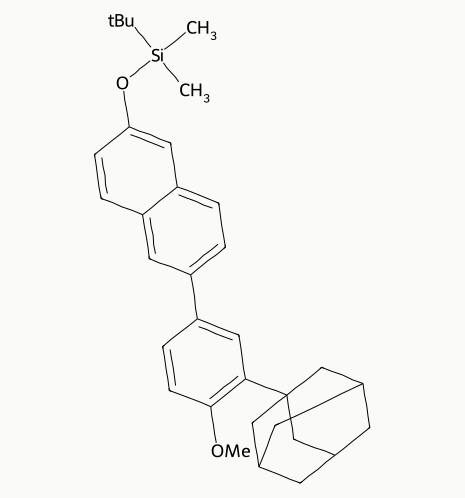 COc1ccc(-c2ccc3cc(O[Si](C)(C)C(C)(C)C)ccc3c2)cc1C12CC3CC(CC(C3)C1)C2